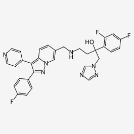 OC(CCNCc1ccc2c(-c3ccncc3)c(-c3ccc(F)cc3)nn2c1)(Cn1cncn1)c1ccc(F)cc1F